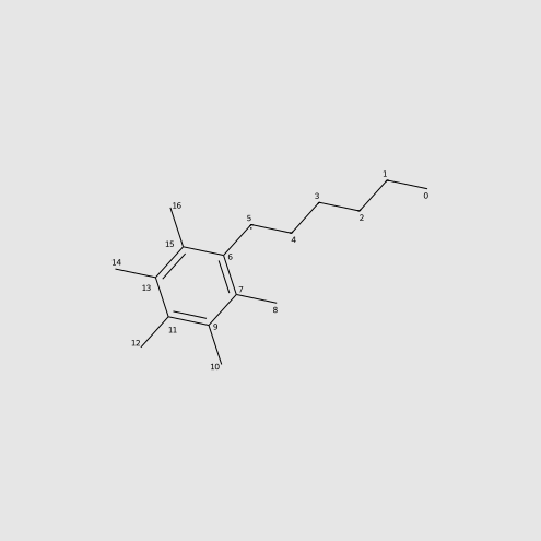 CCCCC[CH]c1c(C)c(C)c(C)c(C)c1C